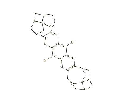 Brc1c2cc3c(cc2c(Br)c2cc4c(cc12)C1CC2CC5CC4CC25C1)C1CC2CC4CC3CC42C1